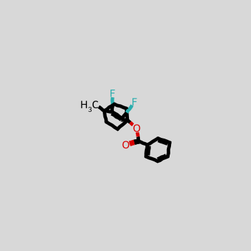 CC12CCC(OC(=O)c3ccccc3)(CC1)C(F)=C2F